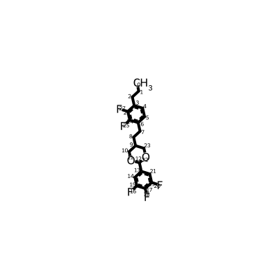 CCCc1ccc(CCC2COC(c3cc(F)c(F)c(F)c3)OC2)c(F)c1F